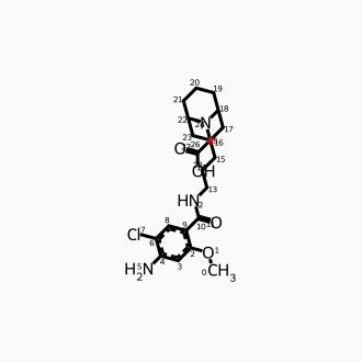 COc1cc(N)c(Cl)cc1C(=O)NCCCC1CC2CCCC(C1)N2CC(=O)O